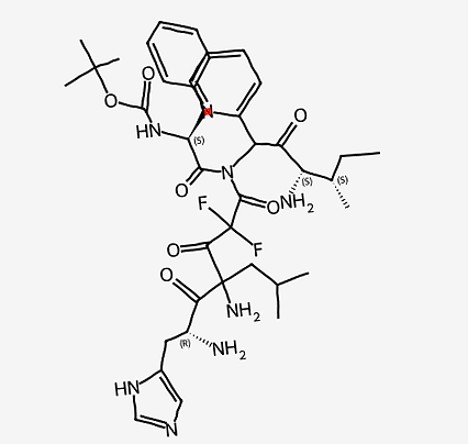 CC[C@H](C)[C@H](N)C(=O)C(c1ccccn1)N(C(=O)[C@H](Cc1ccccc1)NC(=O)OC(C)(C)C)C(=O)C(F)(F)C(=O)C(N)(CC(C)C)C(=O)[C@H](N)Cc1cnc[nH]1